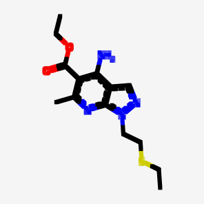 CCOC(=O)c1c(C)nc2c(cnn2CCSCC)c1N